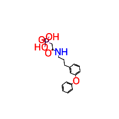 O=C(CP(=O)(O)O)NCCCc1cccc(Oc2ccccc2)c1